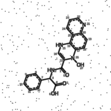 O=C(NC(C(=O)O)c1ccccc1)C1=CNc2c(ccc3ncccc23)N1O